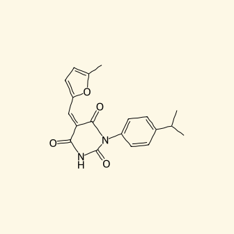 Cc1ccc(C=C2C(=O)NC(=O)N(c3ccc(C(C)C)cc3)C2=O)o1